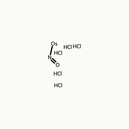 Cl.Cl.Cl.Cl.Cl.O=[N][Os]